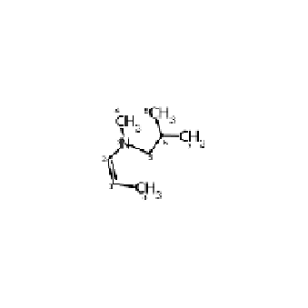 C/C=C\N(C)CC(C)C